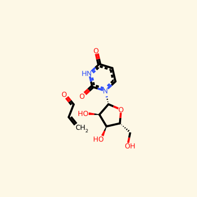 C=CC=O.O=c1ccn([C@@H]2O[C@H](CO)[C@@H](O)[C@H]2O)c(=O)[nH]1